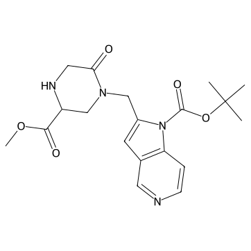 COC(=O)C1CN(Cc2cc3cnccc3n2C(=O)OC(C)(C)C)C(=O)CN1